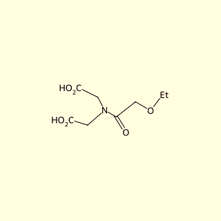 CCOCC(=O)N(CC(=O)O)CC(=O)O